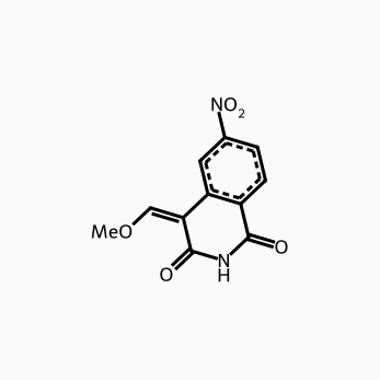 COC=C1C(=O)NC(=O)c2ccc([N+](=O)[O-])cc21